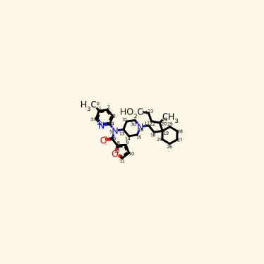 Cc1ccc(N(C(=O)c2ccco2)C2CCN(CCC3(C(C)CCC(=O)O)CCCCC3)CC2)nc1